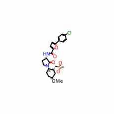 CO[C@@H]1CC[C@H](N2CC[C@H](NC(=O)c3ccc(-c4ccc(Cl)cc4)o3)C2=O)[C@H](CS(C)(=O)=O)C1